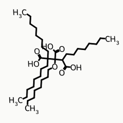 CCCCCCCCOC(C(=O)O)(C(CCCCCCCC)C(=O)O)C(CCCCCCCC)(CCCCCCCC)C(=O)O